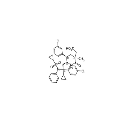 C[C@@]1(CC(=O)O)C[C@H](c2cccc(Cl)c2)[C@H](C[C@@](c2ccc(Cl)cc2)(C2CC2)N(c2ccccc2)S(=O)(=O)C2CC2)NC1=O